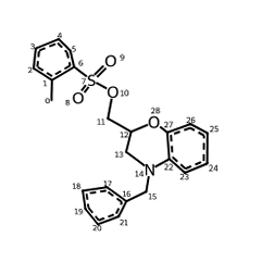 Cc1ccccc1S(=O)(=O)OCC1CN(Cc2ccccc2)c2ccccc2O1